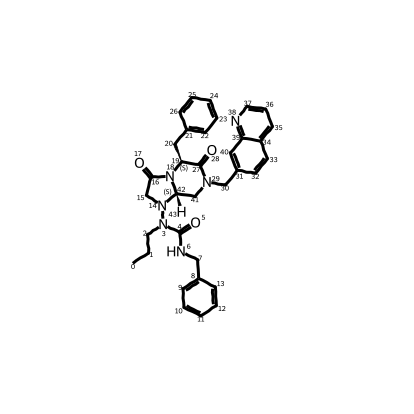 CCCN(C(=O)NCc1ccccc1)N1CC(=O)N2[C@@H](Cc3ccccc3)C(=O)N(Cc3ccc4cccnc4c3)C[C@@H]21